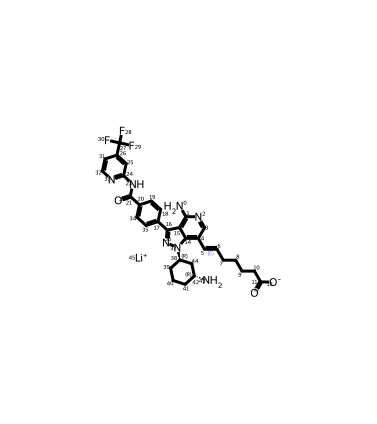 Nc1ncc(/C=C/CCCCC(=O)[O-])c2c1c(-c1ccc(C(=O)Nc3cc(C(F)(F)F)ccn3)cc1)nn2[C@@H]1CCC[C@@H](N)C1.[Li+]